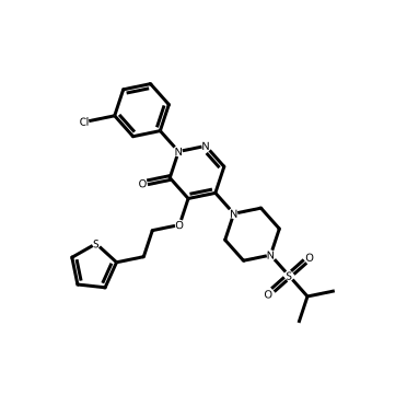 CC(C)S(=O)(=O)N1CCN(c2cnn(-c3cccc(Cl)c3)c(=O)c2OCCc2cccs2)CC1